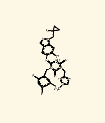 Cn1cnc(Cn2c(=O)[nH]/c(=N\c3cc4cnn(CC5(F)CC5)c4cc3Cl)n(Cc3cc(F)c(F)cc3F)c2=O)n1